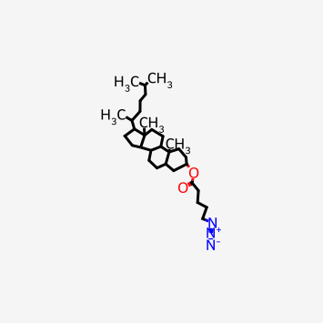 CC(C)CCCC(C)C1CCC2C3CCC4CC(OC(=O)CCCCN=[N+]=[N-])CCC4(C)C3CCC12C